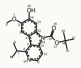 COc1cc2c3c(C(C)C)nccc3n(C(=O)OC(C)(C)C)c2cc1O